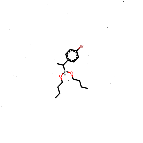 CCCCO[SiH](OCCCC)C(C)c1ccc(Br)cc1